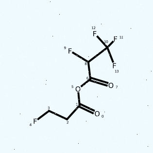 O=C(CCF)OC(=O)C(F)C(F)(F)F